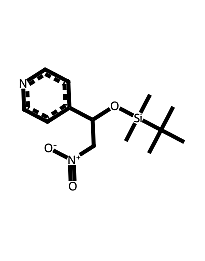 CC(C)(C)[Si](C)(C)OC(C[N+](=O)[O-])c1ccncc1